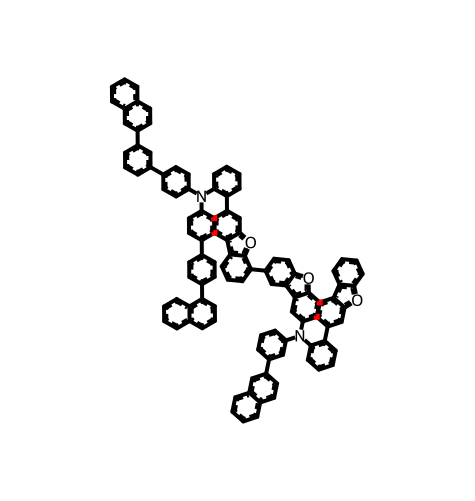 c1cc(-c2ccc(N(c3ccc(-c4ccc(-c5cccc6ccccc56)cc4)cc3)c3ccccc3-c3ccc4c(c3)oc3c(-c5ccc6oc7ccc(N(c8cccc(-c9ccc%10ccccc%10c9)c8)c8ccccc8-c8ccc9c(c8)oc8ccccc89)cc7c6c5)cccc34)cc2)cc(-c2ccc3ccccc3c2)c1